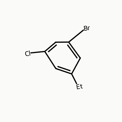 CCc1cc(Cl)cc(Br)c1